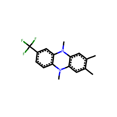 Cc1cc2c(cc1C)N(C)c1cc(C(F)(F)F)ccc1N2C